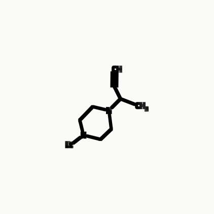 C#CC(C)N1CCN(CC)CC1